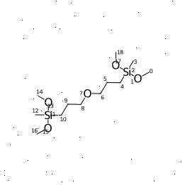 CO[Si](C)(CCCOCCC[Si](C)(OC)OC)OC